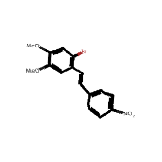 COc1cc(Br)c(C=Cc2ccc([N+](=O)[O-])cc2)cc1OC